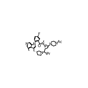 CC(=O)N1CCN(CCCC(C(C)C)N2CC[C@H](Cc3cn(-c4ccc(F)cc4C(=O)N(C)C(C)C)c4cncc(C)c34)C2)CC1